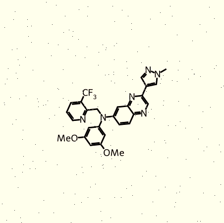 COc1cc(OC)cc(N(Cc2ncccc2C(F)(F)F)c2ccc3ncc(-c4cnn(C)c4)nc3c2)c1